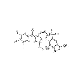 Cc1cnc2c3c(c(C(F)(F)F)cn12)-c1cccn2c(C(=O)c4cc(F)c(F)c(F)c4)cc(c12)CCN3